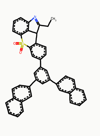 CCC1=Nc2cccc3c2C1c1ccc(-c2cc(-c4ccc5ccccc5c4)cc(-c4ccc5ccccc5c4)c2)cc1S3(=O)=O